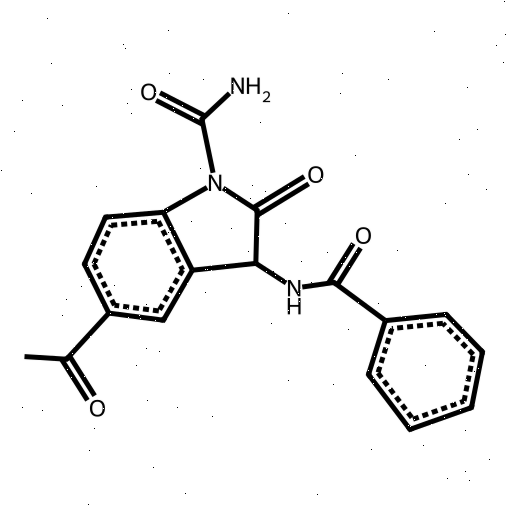 CC(=O)c1ccc2c(c1)C(NC(=O)c1ccccc1)C(=O)N2C(N)=O